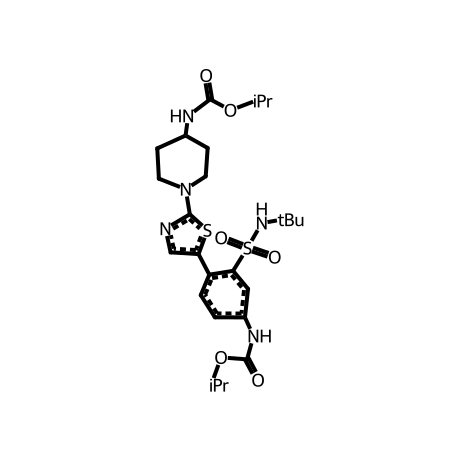 CC(C)OC(=O)Nc1ccc(-c2cnc(N3CCC(NC(=O)OC(C)C)CC3)s2)c(S(=O)(=O)NC(C)(C)C)c1